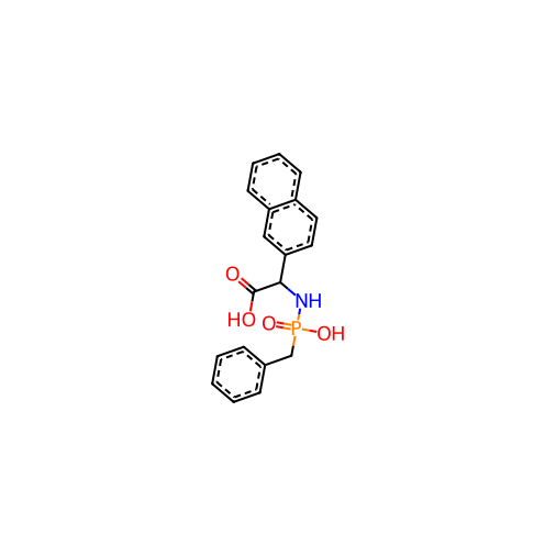 O=C(O)C(NP(=O)(O)Cc1ccccc1)c1ccc2ccccc2c1